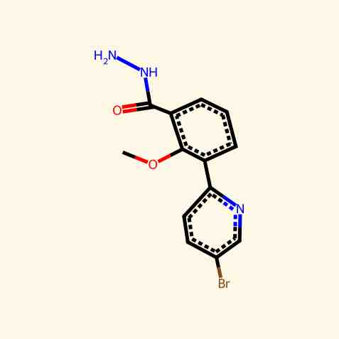 COc1c(C(=O)NN)cccc1-c1ccc(Br)cn1